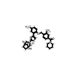 Cc1ccc(OCc2ccc(C(=O)N3CCCCC3)cc2C)c(-c2csc(N3C[C@H]4CC[C@@H](C3)C4C(=O)O)n2)c1